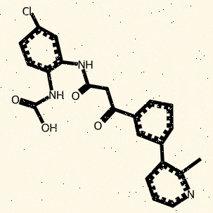 Cc1ncccc1-c1cccc(C(=O)CC(=O)Nc2cc(Cl)ccc2NC(=O)O)c1